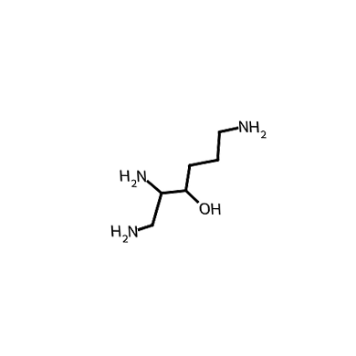 NCCCC(O)C(N)CN